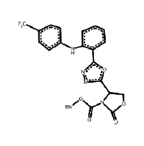 CC(C)(C)OC(=O)N1C(=O)OCC1c1nnc(-c2ccccc2Nc2ccc(C(F)(F)F)cc2)o1